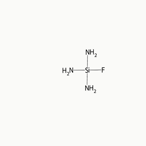 N[Si](N)(N)F